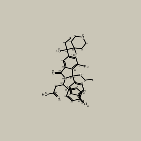 CCO[C@]1(c2ccc(Cl)cc2)c2c(F)cc(C(O)(CC)C3(F)CCOCC3)cc2C(=O)N1C(CC(=O)O)c1ccc(Cl)cc1